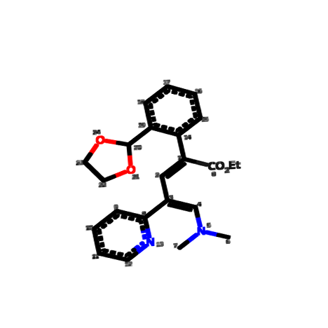 CCOC(=O)/C(=C\C(=C\N(C)C)c1ccccn1)c1ccccc1C1OCCO1